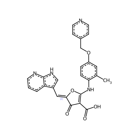 Cc1cc(OCc2ccncc2)ccc1NC1=C(C(=O)O)C(=O)/C(=C/c2c[nH]c3ncccc23)O1